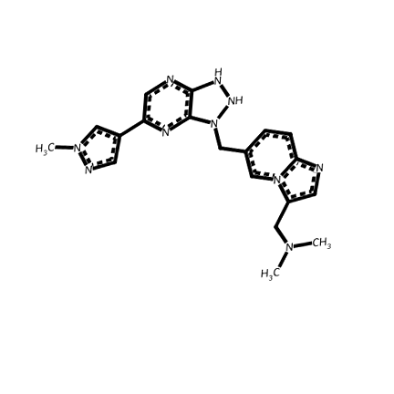 CN(C)Cc1cnc2ccc(CN3NNc4ncc(-c5cnn(C)c5)nc43)cn12